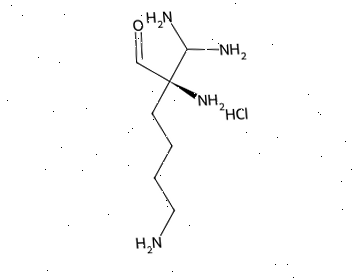 Cl.NCCCC[C@](N)(C=O)C(N)N